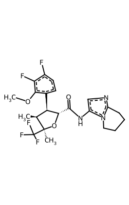 COc1c([C@H]2[C@H](C(=O)Nc3cnc4n3CCCC4)O[C@@](C)(C(F)(F)F)[C@H]2C)ccc(F)c1F